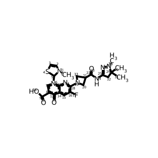 CN1C=CSC1n1cc(C(=O)O)c(=O)c2cc(F)c(N3CC(C(=O)NC4=NN(C)C(C)(C)C4)C3)nc21